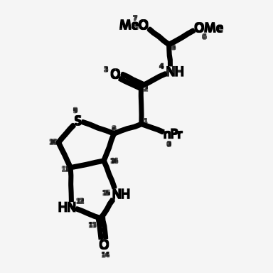 CCCC(C(=O)NC(OC)OC)C1SCC2NC(=O)NC21